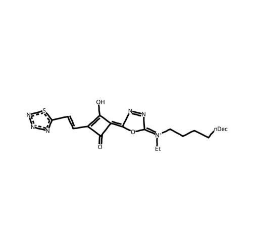 CCCCCCCCCCCCCC/[N+](CC)=C1N=N/C(=C2/C(=O)C(/C=C/c3nnns3)=C2O)O\1